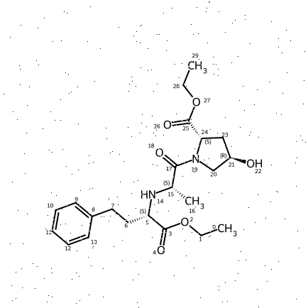 CCOC(=O)[C@H](CCc1ccccc1)N[C@@H](C)C(=O)N1C[C@H](O)C[C@H]1C(=O)OCC